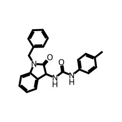 Cc1ccc(NC(=O)NC2C(=O)N(Cc3ccccc3)c3ccccc32)cc1